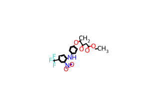 C=C(Oc1ccc(Nc2ccc(C(F)(F)F)cc2[N+](=O)[O-])cc1)C(=O)CC(=O)OCC